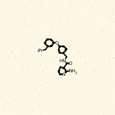 CC(C)Cc1cccc(Oc2ccc(CNC(=O)c3cccnc3N)cc2)c1